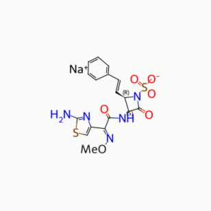 CON=C(C(=O)N[C@@H]1C(=O)N(S(=O)(=O)[O-])[C@@H]1C=Cc1ccccc1)c1csc(N)n1.[Na+]